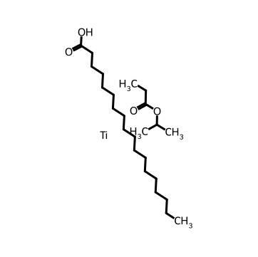 CCC(=O)OC(C)C.CCCCCCCCCCCCCCCCCC(=O)O.[Ti]